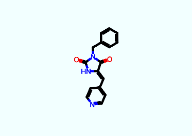 O=C1N/C(=C\c2ccncc2)C(=O)N1Cc1ccccc1